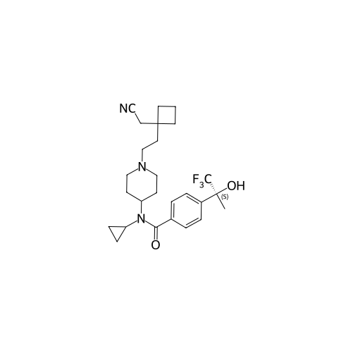 C[C@](O)(c1ccc(C(=O)N(C2CC2)C2CCN(CCC3(CC#N)CCC3)CC2)cc1)C(F)(F)F